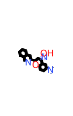 CN(C)c1ccc2oc(-c3cc4ccccc4cn3)c/c(=N\O)c2c1